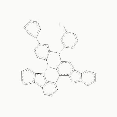 CCCCc1cccc(N2c3cc(-c4ccccc4)ccc3B3c4c2cc2c(oc5ccccc52)c4-c2cccc4c5ccccc5n3c24)c1